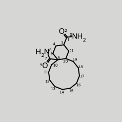 NC(=O)C1CCC2(C(N)=O)CCCCCCCCCCC2C1